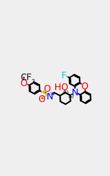 O=S(=O)(/N=C/C1CCC[C@H](N2c3ccccc3Oc3ccc(F)cc32)[C@H]1O)c1ccc(OC(F)(F)F)cc1